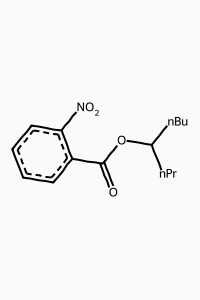 CCCCC(CCC)OC(=O)c1ccccc1[N+](=O)[O-]